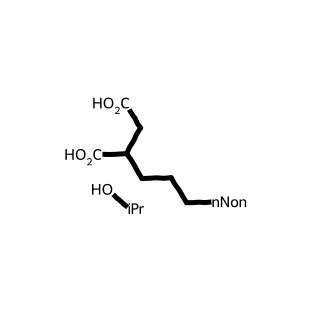 CC(C)O.CCCCCCCCCCCCC(CC(=O)O)C(=O)O